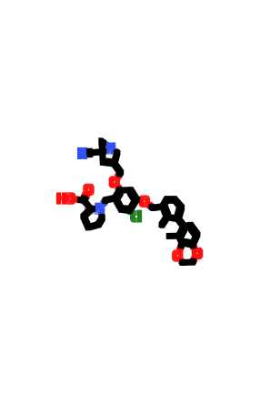 Cc1c(COc2cc(OCC3=CC4(C#N)CN4C3)c(CN3CCCC[C@H]3C(=O)O)cc2Cl)cccc1-c1ccc2c(c1C)OCCO2